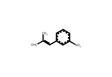 CC(C=O)=Cc1cccc([N+](=O)[O-])c1